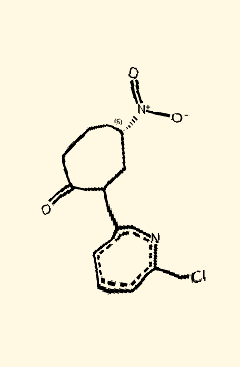 O=C1CC[C@H]([N+](=O)[O-])CC1c1cccc(Cl)n1